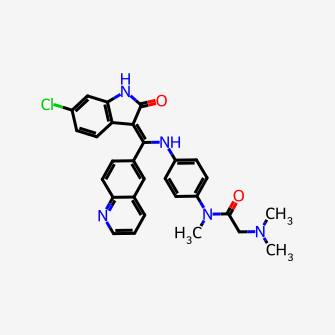 CN(C)CC(=O)N(C)c1ccc(N/C(=C2\C(=O)Nc3cc(Cl)ccc32)c2ccc3ncccc3c2)cc1